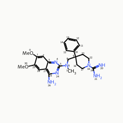 COc1cc2nc(N(C)CC3(c4ccccc4)CCN(C(=N)N)CC3)nc(N)c2cc1OC